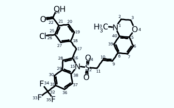 CN1CCOc2ccc(C=CCS(=O)(=O)n3c(Cc4ccc(C(=O)O)c(Cl)c4)cc4cc(C(F)(F)F)ccc43)cc21